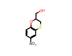 O=[N+]([O-])c1ccc2c(c1)SCC(CO)O2